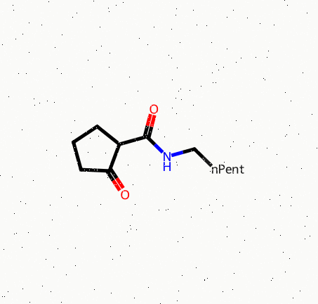 CCCCCCNC(=O)C1CCCC1=O